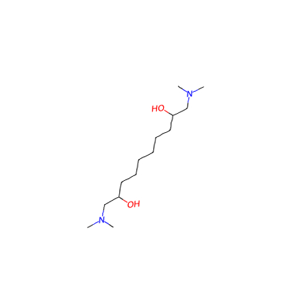 CN(C)CC(O)CCCCCCC(O)CN(C)C